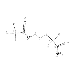 CC(C)(C)C(=O)OCCCC(C)(C)C(N)=O